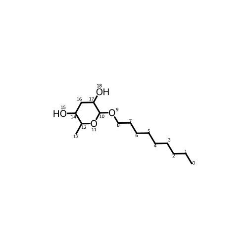 CCCCCCCCCOC1OC(C)C(O)CC1O